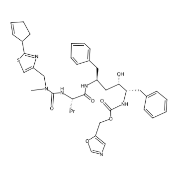 CC(C)[C@H](NC(=O)N(C)Cc1csc(C2C=CCC2)n1)C(=O)N[C@@H](Cc1ccccc1)C[C@H](O)[C@H](Cc1ccccc1)NC(=O)OCc1cnco1